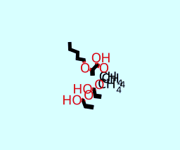 C.C.C.C=C(OCCCCC)C(=O)O.C=CC(=O)O.C=CC(=O)O